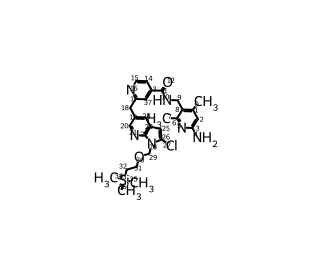 Cc1cc(N)nc(C)c1CNC(=O)c1ccnc(Cc2cnc3c(c2)cc(Cl)n3COCC[Si](C)(C)C)c1